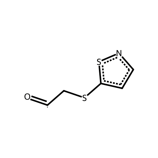 O=[C]CSc1ccns1